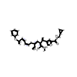 C=C/C(=C\C(C(=C)c1coc(C(=O)NCC2CC2)c1)=C(/N)NC)C/C=C\C=C/C(=C)OC1C=CC=CC1